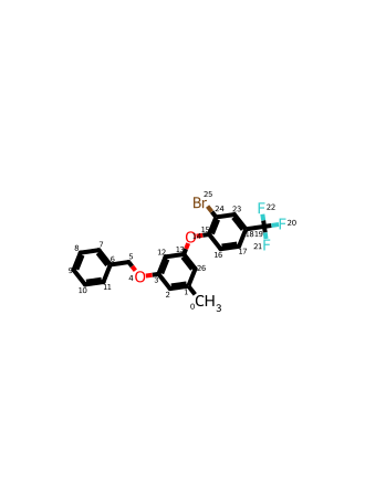 Cc1cc(OCc2ccccc2)cc(Oc2ccc(C(F)(F)F)cc2Br)c1